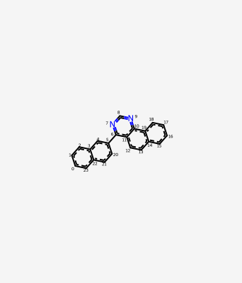 c1ccc2cc(-c3ncnc4c3ccc3ccccc34)ccc2c1